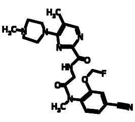 Cc1cnc(C(=O)NCC(=O)N(C)c2ccc(C#N)cc2OCF)nc1N1CCN(C)CC1